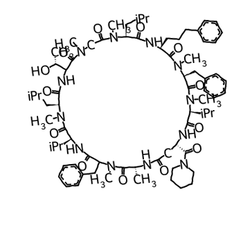 CC(C)C[C@H]1C(=O)N[C@@H](CCCc2ccccc2)C(=O)N(C)[C@@H](Cc2ccccc2)C(=O)N(C)[C@@H](C(C)C)C(=O)N[C@H](C(=O)N2CCCCC2)CC(=O)N[C@H](C)C(=O)N(C)C(Cc2ccccc2)C(=O)N[C@@H](C(C)C)C(=O)N(C)[C@@H](CC(C)C)C(=O)NC([C@@H](C)O)C(=O)N(C)CC(=O)N1C